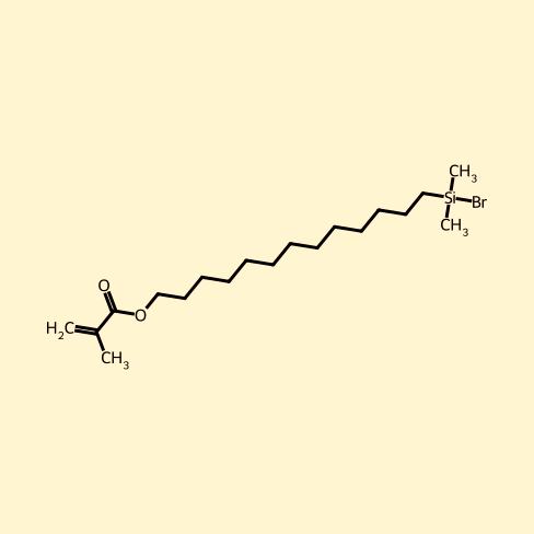 C=C(C)C(=O)OCCCCCCCCCCCCC[Si](C)(C)Br